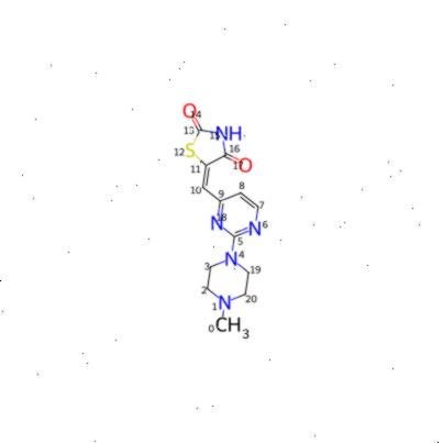 CN1CCN(c2nccc(C=C3SC(=O)NC3=O)n2)CC1